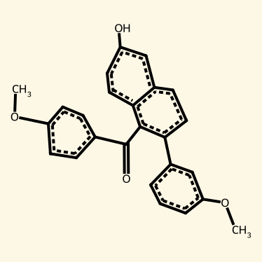 COc1ccc(C(=O)c2c(-c3cccc(OC)c3)ccc3cc(O)ccc23)cc1